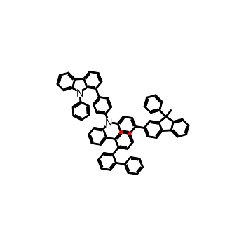 CC1(c2ccccc2)c2ccccc2-c2ccc(-c3ccc(N(c4ccc(-c5cccc6c7ccccc7n(-c7ccccc7)c56)cc4)c4ccccc4-c4ccccc4-c4ccccc4-c4ccccc4)cc3)cc21